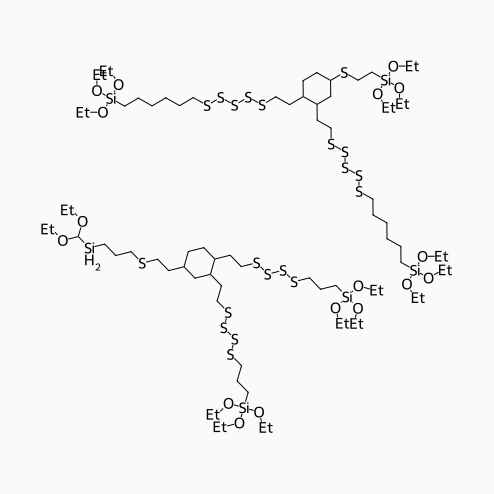 CCOC(OCC)[SiH2]CCCSCCC1CCC(CCSSSSCCC[Si](OCC)(OCC)OCC)C(CCSSSSCCC[Si](OCC)(OCC)OCC)C1.CCO[Si](CCCCCCSSSSSCCC1CCC(SCC[Si](OCC)(OCC)OCC)CC1CCSSSSSCCCCCC[Si](OCC)(OCC)OCC)(OCC)OCC